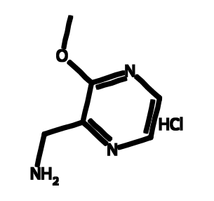 COc1nccnc1CN.Cl